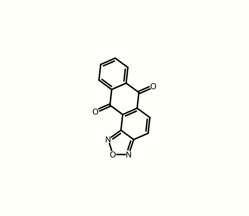 O=C1c2ccccc2C(=O)c2c1ccc1nonc21